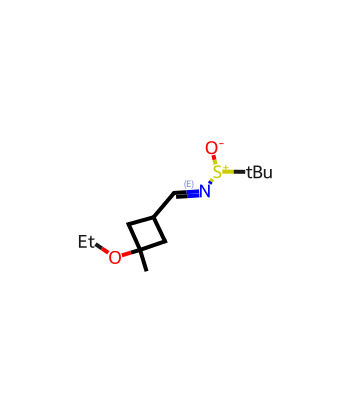 CCOC1(C)CC(/C=N/[S+]([O-])C(C)(C)C)C1